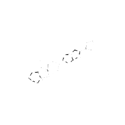 Cl.N[C@@H]1c2ccccc2CC12CCN(c1nn3cc(C4CCCC4)nc3s1)CC2